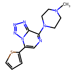 CN1CCN(c2ncc(-c3cccs3)n3nnnc23)CC1